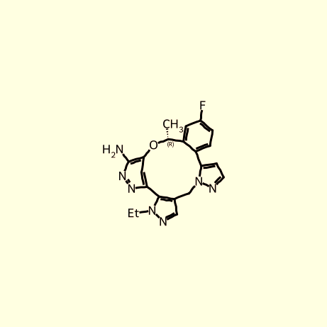 CCn1ncc2c1-c1cc(c(N)nn1)O[C@H](C)c1cc(F)ccc1-c1ccnn1C2